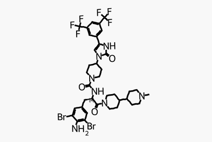 CN1CCC(C2CCN(C(=O)[C@@H](Cc3cc(Br)c(N)c(Br)c3)NC(=O)N3CCC(n4cc(-c5cc(C(F)(F)F)cc(C(F)(F)F)c5)[nH]c4=O)CC3)CC2)CC1